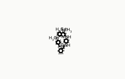 COc1ccc(CSC2(CC(=O)N[C@H]3CC[C@@H](Nc4cc(N(C)C)c5ccccc5n4)CC3)CCCCC2)cc1